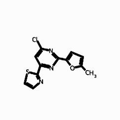 Cc1ccc(-c2nc(Cl)cc(-c3nccs3)n2)o1